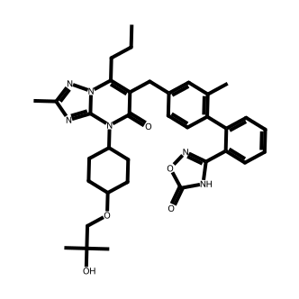 CCCc1c(Cc2ccc(-c3ccccc3-c3noc(=O)[nH]3)c(C)c2)c(=O)n(C2CCC(OCC(C)(C)O)CC2)c2nc(C)nn12